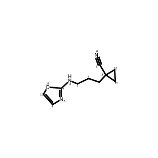 N#CC1(CCCNc2ncco2)CC1